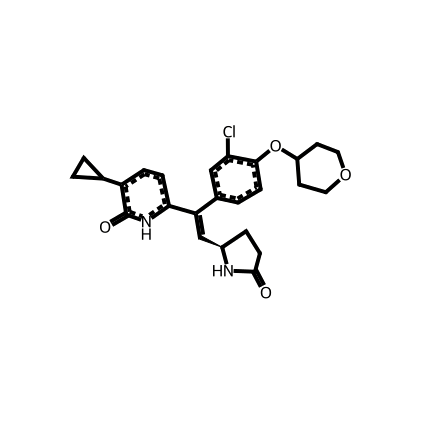 O=C1CC[C@H](/C=C(\c2ccc(OC3CCOCC3)c(Cl)c2)c2ccc(C3CC3)c(=O)[nH]2)N1